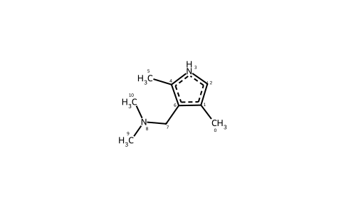 Cc1[c][nH]c(C)c1CN(C)C